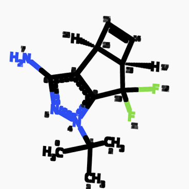 CC(C)(C)n1nc(N)c2c1C(F)(F)[C@@H]1C=C[C@H]21